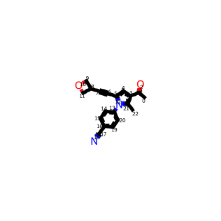 CC(=O)c1cc(C#CC2COC2)n(-c2ccc(C#N)cc2)c1C